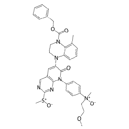 COCC[N+](C)([O-])c1ccc(-n2c(=O)c(N3CCN(C(=O)OCc4ccccc4)c4c(C)cccc43)cc3cnc([S+](C)[O-])nc32)cc1